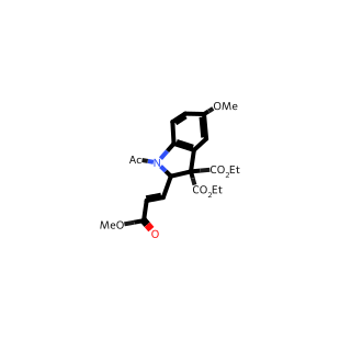 CCOC(=O)C1(C(=O)OCC)c2cc(OC)ccc2N(C(C)=O)C1/C=C/C(=O)OC